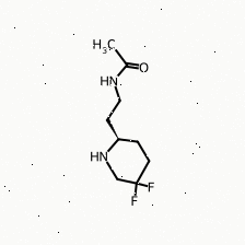 CC(=O)NCC[C@H]1CCC(F)(F)CN1